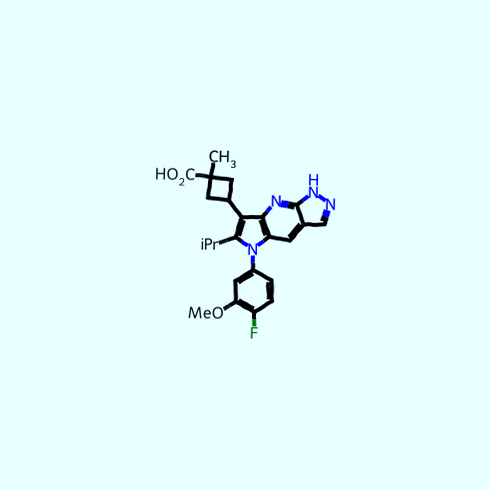 COc1cc(-n2c(C(C)C)c(C3CC(C)(C(=O)O)C3)c3nc4[nH]ncc4cc32)ccc1F